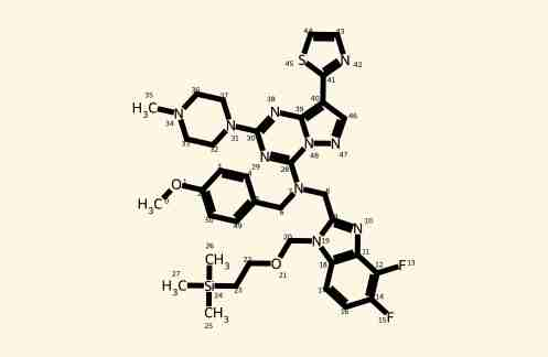 COc1ccc(CN(Cc2nc3c(F)c(F)ccc3n2COCC[Si](C)(C)C)c2nc(N3CCN(C)CC3)nc3c(-c4nccs4)cnn23)cc1